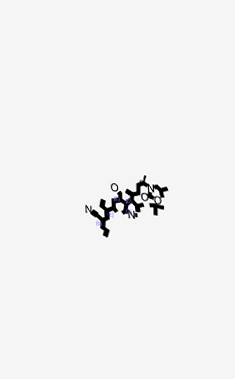 C=C/C=C(C#N)\C=C(/C=C)C(C)\C=C(C=O)/C(C(/C)=N\C)=C(/C(=C)C)C(=C)CC[C@@H](C)N(CC(C)C)C(=O)OC(C)(C)C